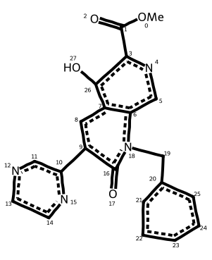 COC(=O)c1ncc2c(cc(-c3cnccn3)c(=O)n2Cc2ccccc2)c1O